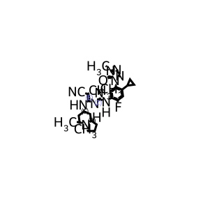 C=N/C(=N\C(N[C@H]1C[C@H]2CCCN2C(C)(C)C1)=C(/C)C#N)Nc1cc(-n2nnn(C)c2=O)c(C2CC2)cc1F